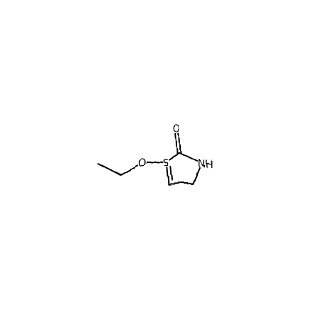 CCOS1=CCNC1=O